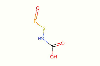 O=PSNC(=O)O